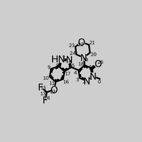 Cn1ncc(-c2n[nH]c3ccc(OC(F)F)cc23)c(N2CCOCC2)c1=O